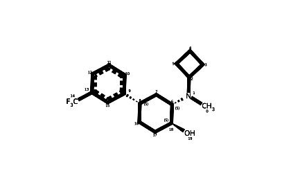 CN(C1CCC1)[C@H]1C[C@@H](c2cccc(C(F)(F)F)c2)CC[C@@H]1O